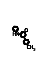 Cc1ccc(C2CC(=O)C=C(Nc3ccccc3)C2)cc1